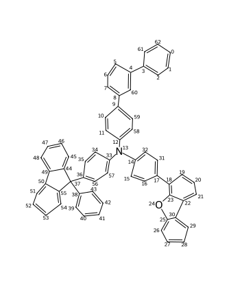 c1ccc(-c2cccc(-c3ccc(N(c4ccc(-c5cccc6c5oc5ccccc56)cc4)c4ccc(C5(c6ccccc6)c6ccccc6-c6ccccc65)cc4)cc3)c2)cc1